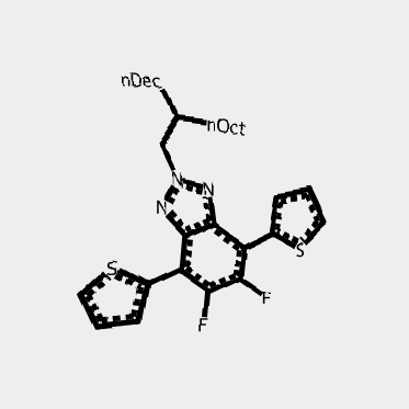 CCCCCCCCCCC(CCCCCCCC)Cn1nc2c(-c3cccs3)c(F)c(F)c(-c3cccs3)c2n1